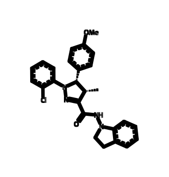 COc1ccc([C@@H]2[C@H](C)C(C(=O)NN3CCc4ccccc43)=NN2c2ccccc2Cl)cc1